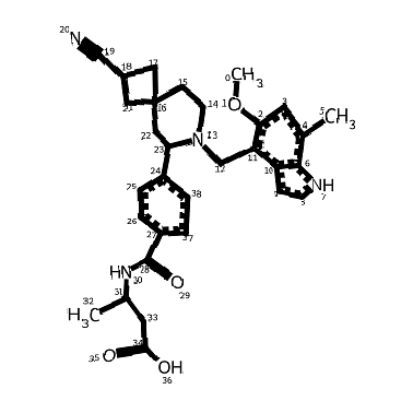 COc1cc(C)c2[nH]ccc2c1CN1CCC2(CC(C#N)C2)CC1c1ccc(C(=O)NC(C)CC(=O)O)cc1